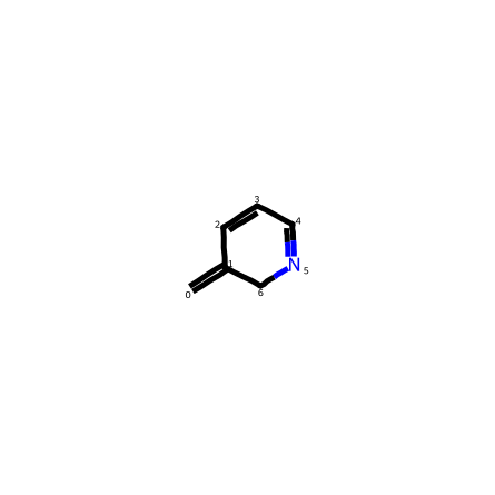 C=C1C=CC=NC1